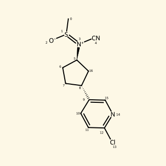 CS([O-])=[N+](C#N)[C@@H]1CC[C@@H](c2ccc(Cl)nc2)C1